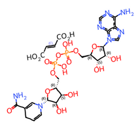 NC(=O)C1=CN([C@@H]2O[C@H](COP(=O)(O)OP(=O)(O)OC[C@H]3O[C@@H](n4cnc5c(N)ncnc54)[C@H](O)[C@@H]3O)[C@@H](O)[C@H]2O)C=CC1.O=C(O)/C=C/C(=O)O